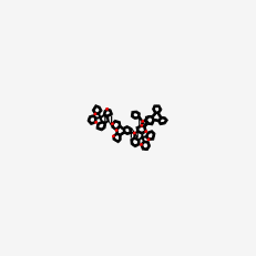 c1ccc(-n2c3cc4c(cc3c3cc5c6ccccc6c6ccccc6c5cc32)C(c2ccccc2)(c2ccccc2)c2ccccc2N4c2ccc3c4ccc(N5c6ccccc6C(c6ccccc6)(c6ccccc6)c6ccccc65)cc4c4ccccc4c3c2)cc1